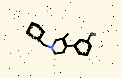 CC1=C(c2cccc(C(C)(C)C)c2)CCN(Cc2ccccc2)C1